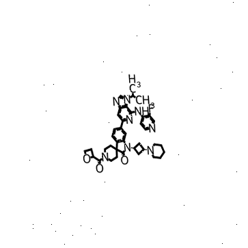 CC(C)n1cnc2cc(-c3ccc4c(c3)N([C@H]3C[C@@H](N5CCCCC5)C3)C(=O)C43CCN(C(=O)C4CCO4)CC3)nc(Nc3ccncc3F)c21